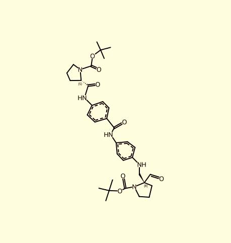 CC(C)(C)OC(=O)N1CCC[C@H]1C(=O)Nc1ccc(C(=O)Nc2ccc(NC[C@@]3(C=O)CCCN3C(=O)OC(C)(C)C)cc2)cc1